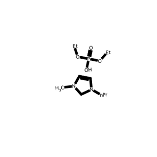 CCCN1C=CN(C)C1.CCOP(=O)(O)OCC